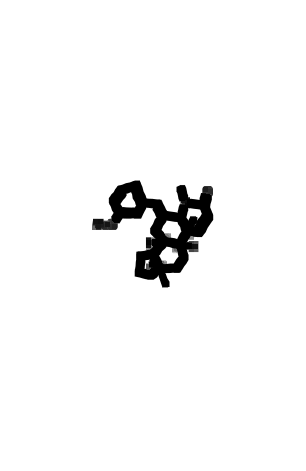 COc1cccc(C=C2C[C@@H]3[C@@H](CC[C@]4(C)CCC[C@@H]34)[C@@]3(C)C=CC(=O)N(C)C23)c1